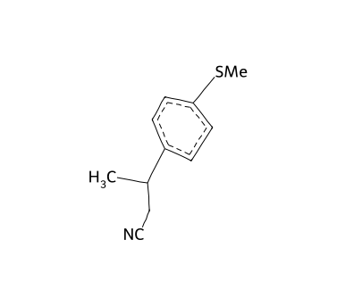 CSc1ccc(C(C)CC#N)cc1